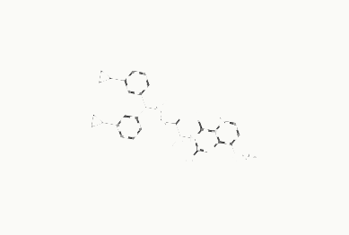 COc1ccnc2c(=O)n([C@@H](C)C(=O)NN(C)C(c3cccc(C4CC4)c3)c3cccc(C4CC4)c3)c(=O)oc12